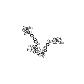 CC1CCC(C(=O)OC(C)(C)CCC(=O)c2ccc3cc(-c4ccc(C(=O)COC(=O)[C@@H]5CC[C@H](C)N5C(=O)OC(C)(C)C)cc4)ccc3n2)N1C(=O)OC(C)(C)CCC(=O)c1ccc2cc(-c3ccc(C(=O)COC(=O)[C@@H]4CC[C@H](C)N4C(=O)OC(C)(C)C)cc3)ccc2n1